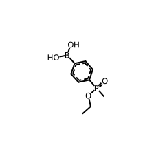 CCOP(C)(=O)c1ccc(B(O)O)cc1